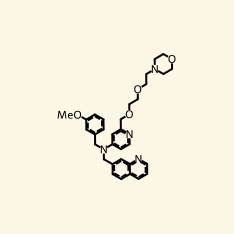 COc1cccc(CN(Cc2ccc3cccnc3c2)c2ccnc(COCCOCCN3CCOCC3)c2)c1